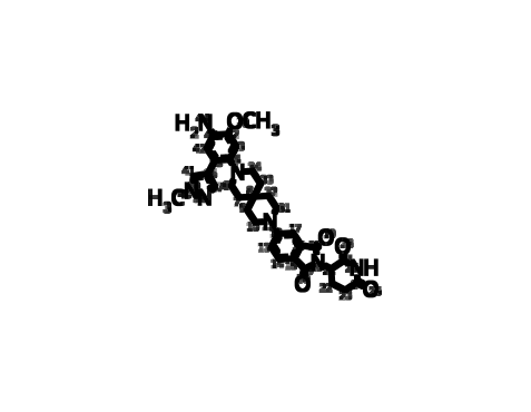 COc1cc(N2CCC3(CCN(c4ccc5c(c4)C(=O)N(C4CCC(=O)NC4=O)C5=O)CC3)CC2)c(-c2cnn(C)c2)cc1N